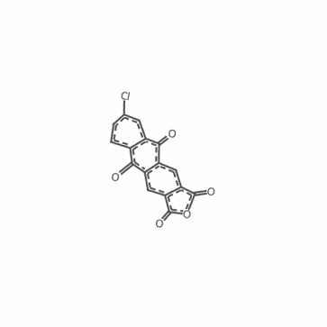 O=c1oc(=O)c2cc3c(=O)c4cc(Cl)ccc4c(=O)c3cc12